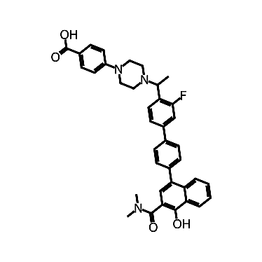 CC(c1ccc(-c2ccc(-c3cc(C(=O)N(C)C)c(O)c4ccccc34)cc2)cc1F)N1CCN(c2ccc(C(=O)O)cc2)CC1